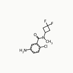 CN(C(=O)c1cc(N)ccc1Cl)C1CC(F)(F)C1